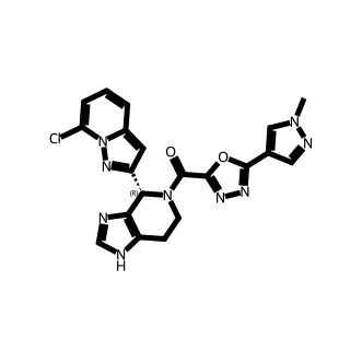 Cn1cc(-c2nnc(C(=O)N3CCc4[nH]cnc4[C@@H]3c3cc4cccc(Cl)n4n3)o2)cn1